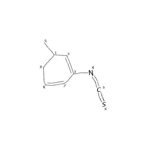 CC1C=C(N=C=S)C=CC1